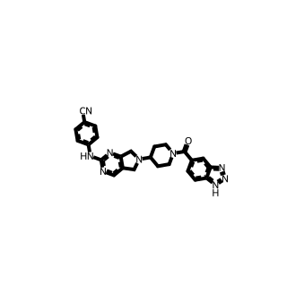 N#Cc1ccc(Nc2ncc3c(n2)CN(C2CCN(C(=O)c4ccc5[nH]nnc5c4)CC2)C3)cc1